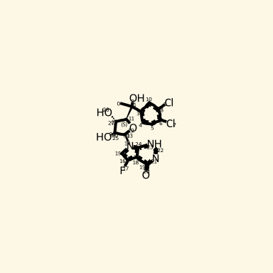 CC(O)(c1ccc(Cl)c(Cl)c1)[C@H]1O[C@@H](n2cc(F)c3c(=O)nc[nH]c32)[C@H](O)[C@@H]1O